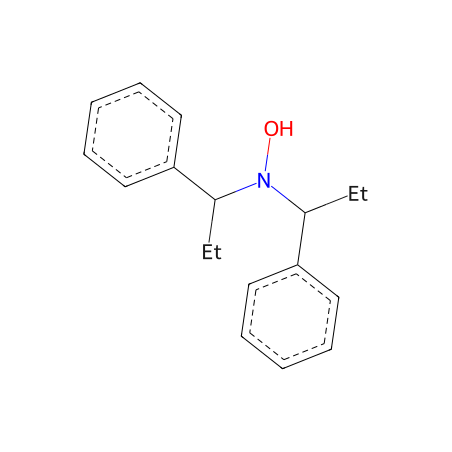 CCC(c1ccccc1)N(O)C(CC)c1ccccc1